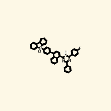 O=P1(c2ccc(-c3ccc(C4=NC(c5ccccc5)=NC(c5ccc(F)cc5)N4)c4ccccc34)cc2)c2ccccc2-c2ccccc21